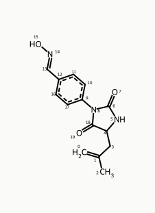 C=C(C)CC1NC(=O)N(c2ccc(C=NO)cc2)C1=O